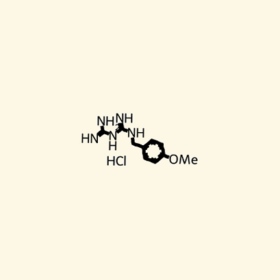 COc1ccc(CNC(=N)NC(=N)N)cc1.Cl